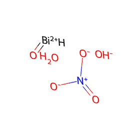 O.O=[N+]([O-])[O-].[OH-].[O]=[BiH+2]